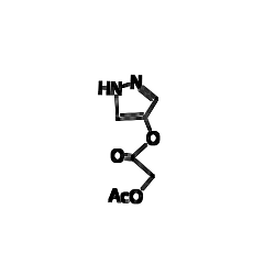 CC(=O)OCC(=O)Oc1cn[nH]c1